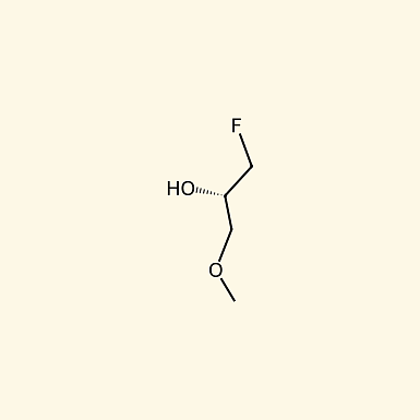 COC[C@H](O)CF